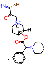 N=C(S)C(=O)C[N+]12CCC(CC1)[C@@H](OC(=O)C(c1ccccc1)N1CCCCC1)C2